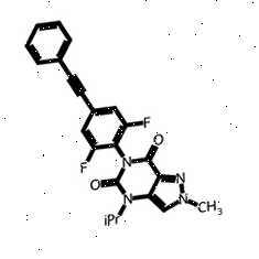 CC(C)n1c(=O)n(-c2c(F)cc(C#Cc3ccccc3)cc2F)c(=O)c2nn(C)cc21